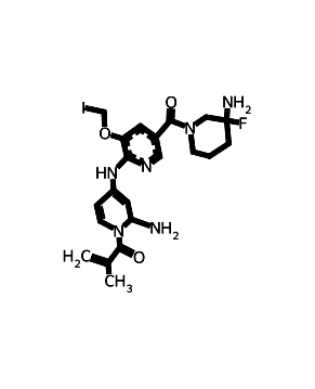 C=C(C)C(=O)N1C=CC(Nc2ncc(C(=O)N3CCCC(N)(F)C3)cc2OCI)=CC1N